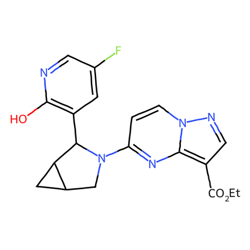 CCOC(=O)c1cnn2ccc(N3CC4CC4C3c3cc(F)cnc3O)nc12